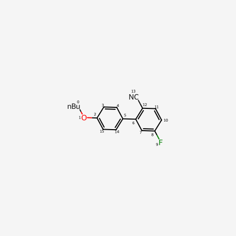 CCCCOc1ccc(-c2cc(F)ccc2C#N)cc1